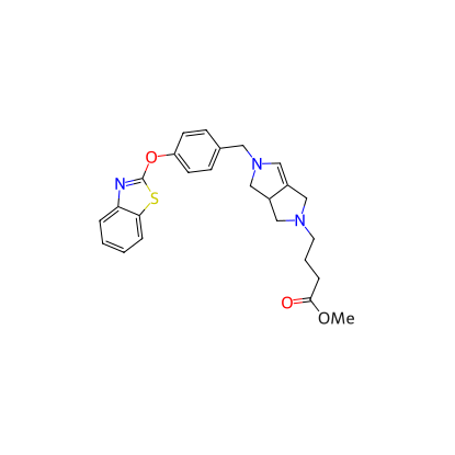 COC(=O)CCCN1CC2=CN(Cc3ccc(Oc4nc5ccccc5s4)cc3)CC2C1